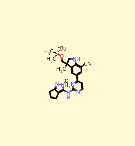 Cn1nc2c(c1Nc1nccc(-c3cc(C#N)c4c(c3)C(C)(CO[Si](C)(C)C(C)(C)C)CN4)n1)CCC2